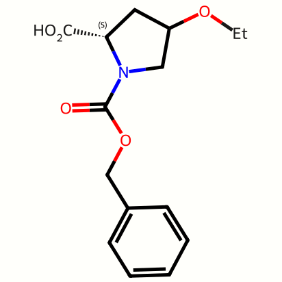 CCOC1C[C@@H](C(=O)O)N(C(=O)OCc2ccccc2)C1